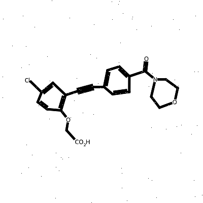 O=C(O)COc1ccc(Cl)cc1C#Cc1ccc(C(=O)N2CCOCC2)cc1